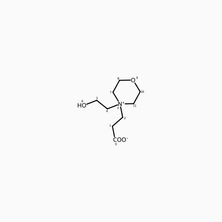 O=C([O-])CC[N+]1(CCO)CCOCC1